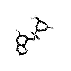 Cc1cc(C)cc(S(=O)(=O)Nc2cc(F)cc3cccnc23)c1